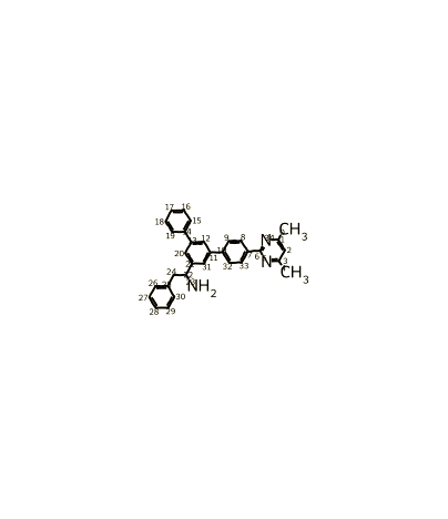 Cc1cc(C)nc(-c2ccc(-c3cc(-c4ccccc4)cc(C(N)Cc4ccccc4)c3)cc2)n1